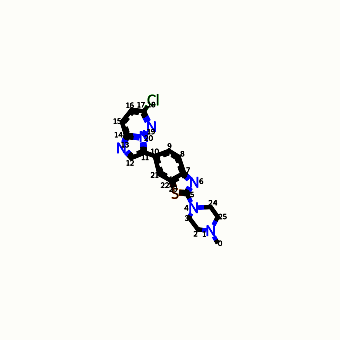 CN1CCN(c2nc3ccc(-c4cnc5ccc(Cl)nn45)cc3s2)CC1